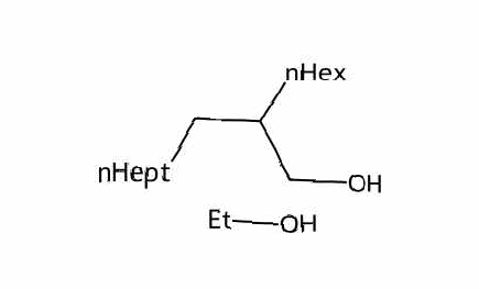 CCCCCCCCC(CO)CCCCCC.CCO